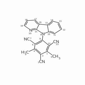 Cc1c(C#N)c(C)c(C#N)c(-n2c3ccccc3c3cccnc32)c1C#N